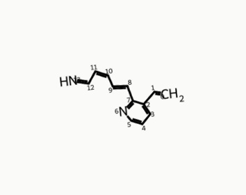 C=Cc1cccnc1/C=C/C=C\C=N